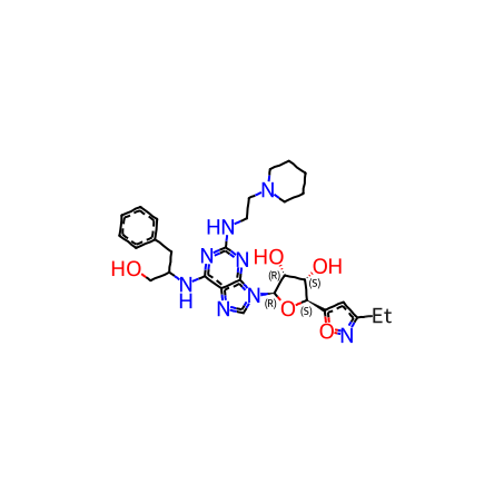 CCc1cc([C@H]2O[C@@H](n3cnc4c(NC(CO)Cc5ccccc5)nc(NCCN5CCCCC5)nc43)[C@H](O)[C@@H]2O)on1